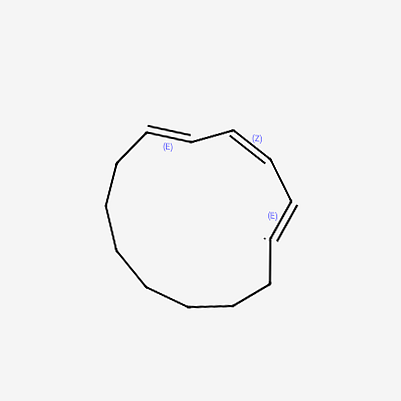 [C]1=C/C=C\C=C\CCCCCCC/1